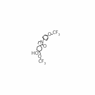 O=C1N(c2ccc(OCC(F)(F)F)cc2)CC[C@]12CC[C@@](O)(COCC(F)(F)F)CC2